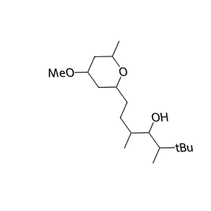 COC1CC(C)OC(CCC(C)C(O)C(C)C(C)(C)C)C1